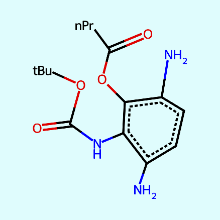 CCCC(=O)Oc1c(N)ccc(N)c1NC(=O)OC(C)(C)C